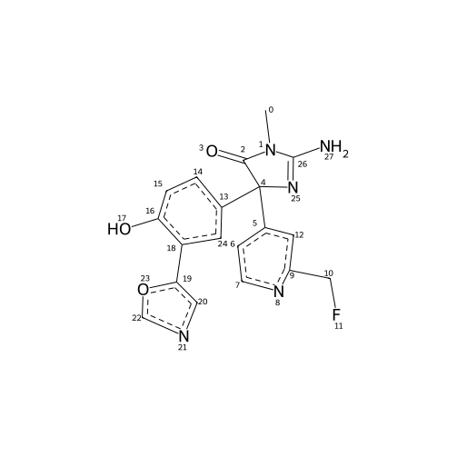 CN1C(=O)C(c2ccnc(CF)c2)(c2ccc(O)c(-c3cnco3)c2)N=C1N